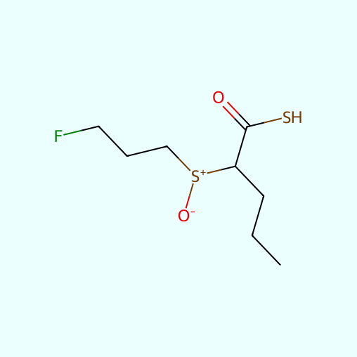 CCCC(C(=O)S)[S+]([O-])CCCF